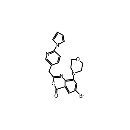 O=c1oc(Cc2ccc(-n3cccc3)nc2)nc2c(N3CCOCC3)cc(Br)cc12